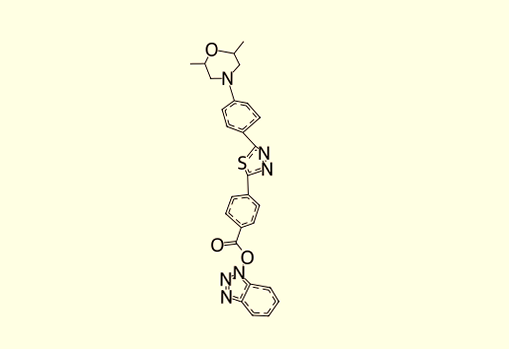 CC1CN(c2ccc(-c3nnc(-c4ccc(C(=O)On5nnc6ccccc65)cc4)s3)cc2)CC(C)O1